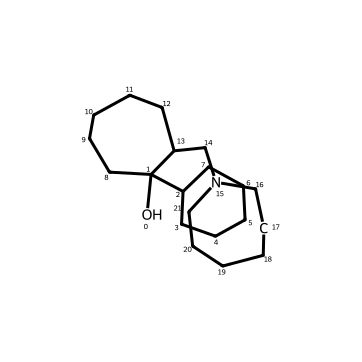 OC1(C2CCCCC2)CCCCCC1CN1CCCCCC1